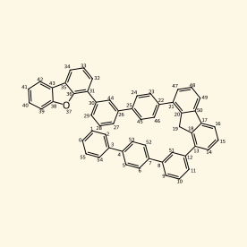 c1ccc(-c2ccc(-c3cccc(-c4cccc5c4Cc4c(-c6ccc(-c7cccc(-c8cccc9c8oc8ccccc89)c7)cc6)cccc4-5)c3)cc2)cc1